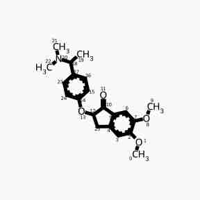 COc1cc2c(cc1OC)C(=O)C(Oc1ccc(C(C)N(C)C)cc1)C2